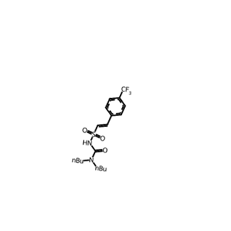 CCCCN(CCCC)C(=O)NS(=O)(=O)C=Cc1ccc(C(F)(F)F)cc1